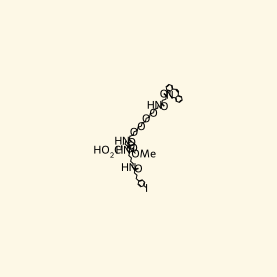 COC(=O)C(CCCCNC(=O)CCCc1ccc(I)cc1)NC(=O)[C@H](CCC(=O)O)NC(=O)CCOCCOCCOCCOCCNC(=O)CCC(=O)N1Cc2ccccc2C#Cc2ccccc21